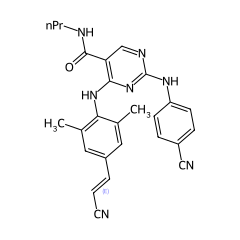 CCCNC(=O)c1cnc(Nc2ccc(C#N)cc2)nc1Nc1c(C)cc(/C=C/C#N)cc1C